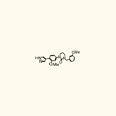 COc1cccc(CN2CCCN(c3ccc(-c4cn[nH]c4)c(OC)c3)C2=O)c1